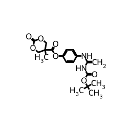 C=C(NC(=O)OC(C)(C)C)Nc1ccc(OC(=O)C2(C)COC(=O)OC2)cc1